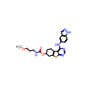 COCCCNC(=O)OC1CCc2c(sc3ncnc(Nc4ccc5[nH]ncc5c4)c23)C1